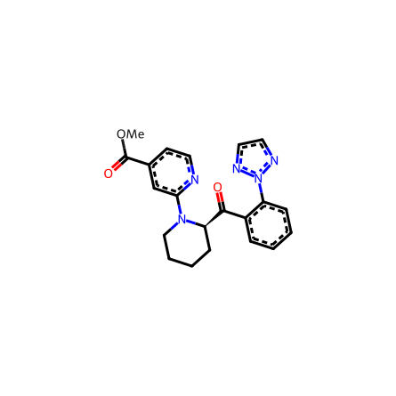 COC(=O)c1ccnc(N2CCCC[C@@H]2C(=O)c2ccccc2-n2nccn2)c1